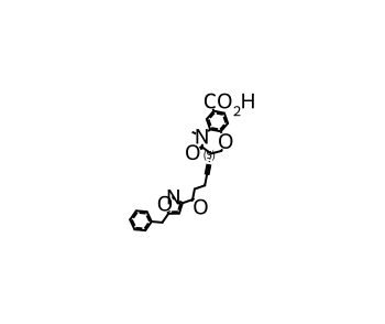 CN1C(=O)[C@@H](C#CCCC(=O)c2cc(Cc3ccccc3)on2)COc2ccc(C(=O)O)cc21